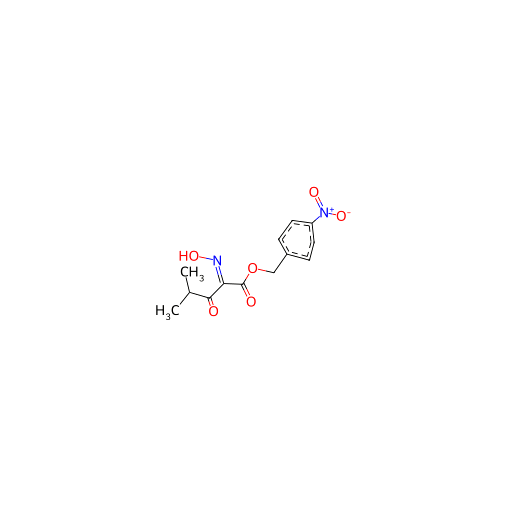 CC(C)C(=O)C(=NO)C(=O)OCc1ccc([N+](=O)[O-])cc1